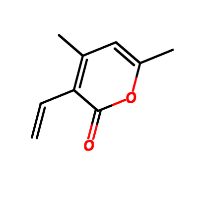 C=Cc1c(C)cc(C)oc1=O